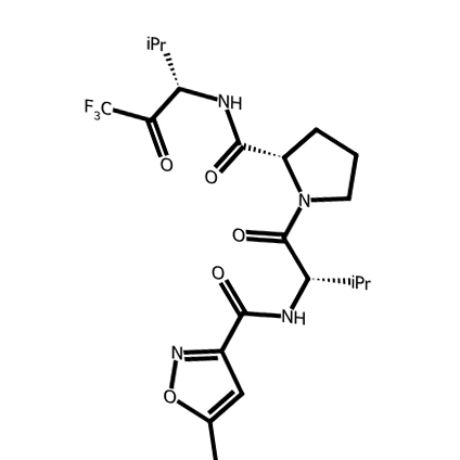 Cc1cc(C(=O)N[C@H](C(=O)N2CCC[C@H]2C(=O)N[C@H](C(=O)C(F)(F)F)C(C)C)C(C)C)no1